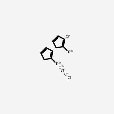 [Cl-].[Cl-].[Cl-].[Cl-].[O-2].[Ti+3][C]1=CC=CC1.[Ti+3][C]1=CC=CC1